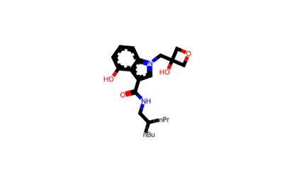 CCCCC(CCC)CNC(=O)c1cn(CC2(O)COC2)c2cccc(O)c12